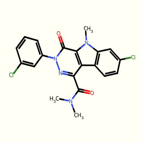 CN(C)C(=O)c1nn(-c2cccc(Cl)c2)c(=O)c2c1c1ccc(Cl)cc1n2C